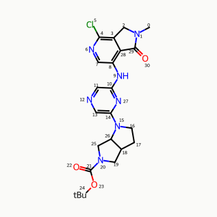 CN1Cc2c(Cl)ncc(Nc3cncc(N4CCC5CN(C(=O)OC(C)(C)C)CC54)n3)c2C1=O